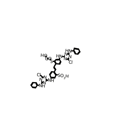 O=S(=O)(O)c1cc(Nc2nc(Cl)nc(Nc3ccccc3)n2)ccc1C=Cc1ccc(Nc2nc(Cl)nc(Nc3ccccc3)n2)cc1SOOO